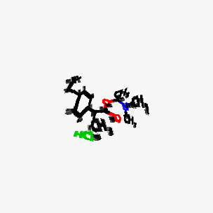 CC(C)Cc1ccc(C(C)C(=O)OC(C)N(C)C)cc1.Cl